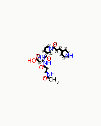 CC(=O)NCCC(=O)N[C@@H](CC(=O)O)NC(=O)[C@@H]1CCCN(C(=O)CCC2CCNCC2)C1